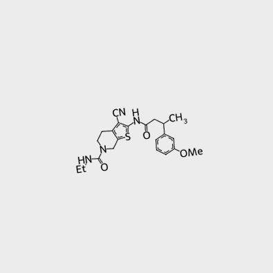 CCNC(=O)N1CCc2c(sc(NC(=O)CC(C)c3cccc(OC)c3)c2C#N)C1